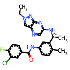 CCn1cc2ncc(N[C@@H](C)c3cc(NC(=O)c4ccc(F)c(Cl)c4)ccc3C)nc2n1